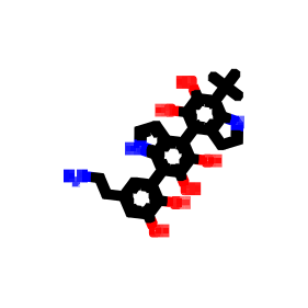 CC(C)(C)c1c(O)c(O)c(-c2c(O)c(O)c(-c3cc(CCN)cc(O)c3O)c3[nH]ccc23)c2c1N=CC2